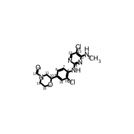 CNc1nc(Nc2ccc(C3CN(C=O)CCO3)cc2Cl)ncc1Cl